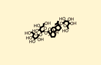 C=C1C[C@@]23CCC4[C@](C)(C(=O)OC5OC(CO)C(O)C(O)C5OC5OC(CO)C(O)C(O)C5O)CCC[C@@]4(C)[C@@H]2CC[C@]1(OC1OC(CO)C(O)C(O)C1O)C3